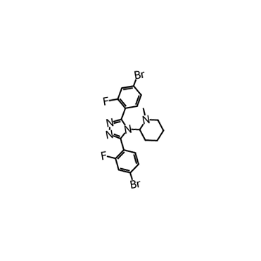 CN1CCCCC1n1c(-c2ccc(Br)cc2F)nnc1-c1ccc(Br)cc1F